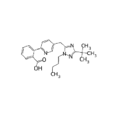 CCCCn1nc(C(C)(C)C)nc1Cc1ccc(-c2ccccc2C(=O)O)nc1